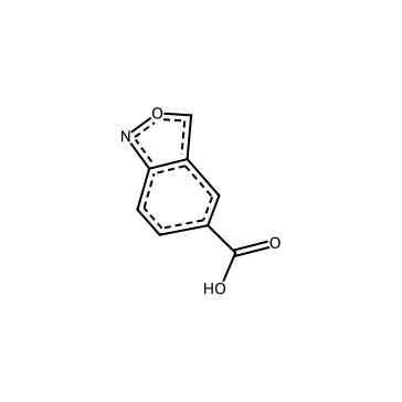 O=C(O)c1ccc2nocc2c1